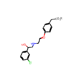 O=C(O)Cc1ccc(OCCNCC(O)c2cccc(Cl)c2)cc1